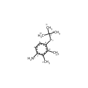 Cc1c(N)ccc([P]C(C)(C)C)c1C